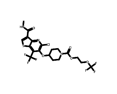 CNC(=O)c1csc2c(C(F)(F)F)c(OC3CCN(C(=O)OCCOC(F)(F)F)CC3)c(Cl)nc12